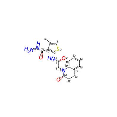 Cc1csc(NC(=O)CN2C(=O)CCc3ccccc32)c1C(=O)NN